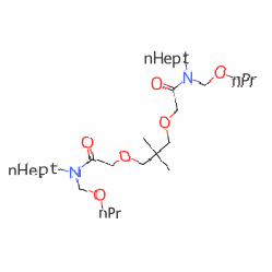 CCCCCCCN(COCCC)C(=O)COCC(C)(C)COCC(=O)N(CCCCCCC)COCCC